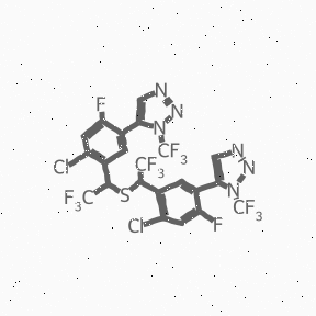 Fc1cc(Cl)c(C(SC(c2cc(-c3cnnn3C(F)(F)F)c(F)cc2Cl)C(F)(F)F)C(F)(F)F)cc1-c1cnnn1C(F)(F)F